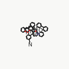 C=Cc1c(/C=C\C)n(-c2cccc3c2oc2ccccc23)c2ccc3c4ccccc4n(-c4ccc(C#N)cc4-c4nc(-c5ccccc5)nc(-c5ccccc5-c5ccccc5)n4)c3c12